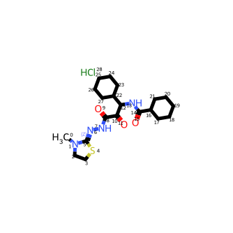 CN1CCS/C1=N\NC(=O)C(=O)C(NC(=O)C1CCCCC1)C1CCCCC1.Cl